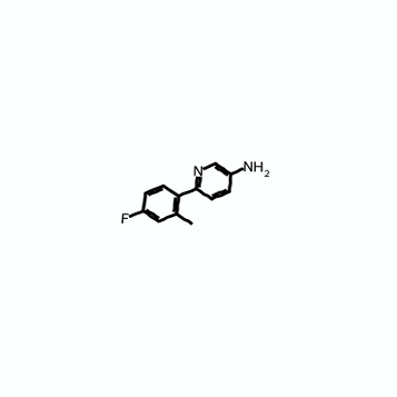 Cc1cc(F)ccc1-c1ccc(N)cn1